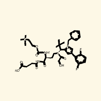 CC(C)(C)[C@H](c1cc(-c2cc(F)ccc2F)cn1Cc1ccccc1)N(CC[C@H](NC(=O)OCCS(C)(C)C)C(=O)NC(=O)CCC(=O)O)C(=O)CO